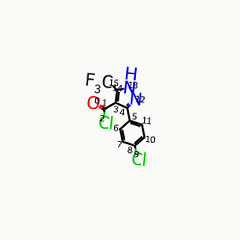 O=C(Cl)c1c(-c2ccc(Cl)cc2)n[nH]c1C(F)(F)F